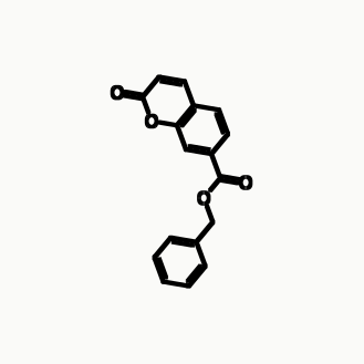 O=C(OCc1ccccc1)c1ccc2ccc(=O)oc2c1